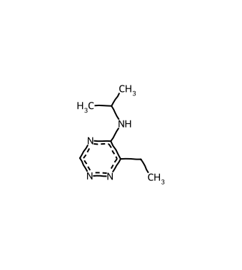 CCc1nncnc1NC(C)C